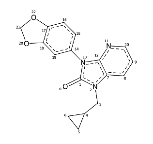 O=c1n(CC2CC2)c2cccnc2n1-c1ccc2c(c1)OCO2